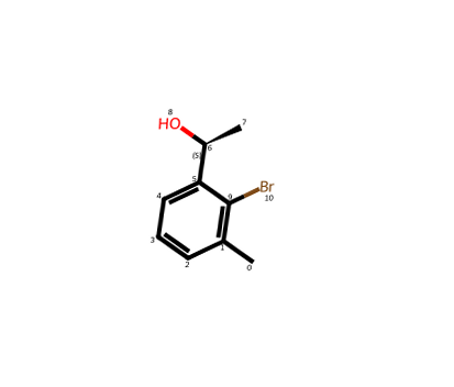 Cc1cccc([C@H](C)O)c1Br